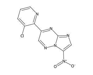 O=[N+]([O-])c1cnc2nc(-c3ncccc3Cl)cnn12